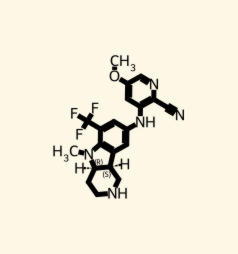 COc1cnc(C#N)c(Nc2cc3c(c(C(F)(F)F)c2)N(C)[C@@H]2CCNC[C@H]32)c1